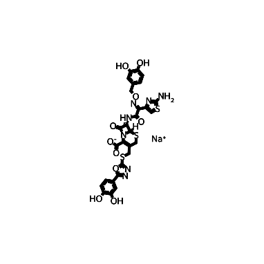 Nc1nc(C(=NOCc2ccc(O)c(O)c2)C(=O)N[C@@H]2C(=O)N3C(C(=O)[O-])=C(CSc4nnc(-c5ccc(O)c(O)c5)o4)CS[C@@H]23)cs1.[Na+]